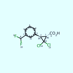 O=C(O)[C@H]1[C@H](c2cccc(C(F)F)c2)C1(Cl)Cl